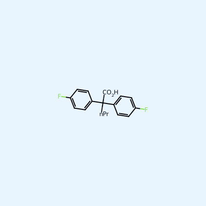 CCCC(C(=O)O)(c1ccc(F)cc1)c1ccc(F)cc1